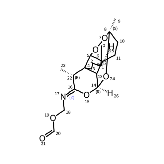 C[C@@H]1CCC23C4OO[C@@]5(C)CCC41C2[C@H](O/C(=N\COC=O)[C@@H]3C)O5